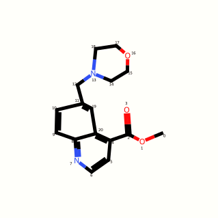 COC(=O)c1ccnc2ccc(CN3CCOCC3)cc12